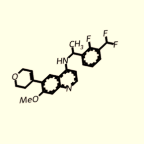 COc1cc2nccc(NC(C)c3cccc(C(F)F)c3F)c2cc1C1=CCOCC1